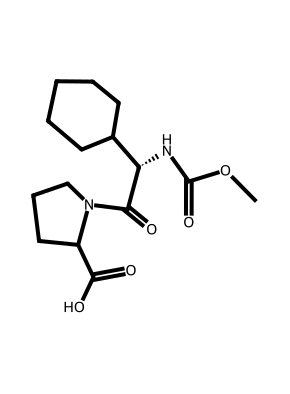 COC(=O)N[C@H](C(=O)N1CCCC1C(=O)O)C1CCCCC1